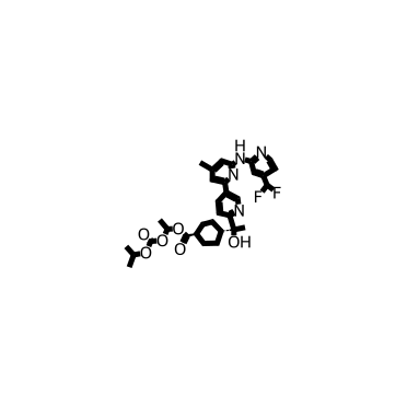 Cc1cc(Nc2cc(C(F)F)ccn2)nc(-c2ccc(C(C)(O)[C@H]3CC[C@H](C(=O)OC(C)OC(=O)OC(C)C)CC3)nc2)c1